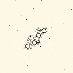 CC(C)N(c1cc2c(cc1C1CC1)-c1ccccc1C2(C)C)c1cccc(-c2ccccc2)c1C1CC1